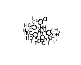 Cc1cc(NN(c2cc(C)c(O)c(C)c2)N(c2cc(C)c(O)c(C)c2)N(Nc2cccc(Cl)c2)c2cc(C)c(O)c(C)c2)cc(C)c1O